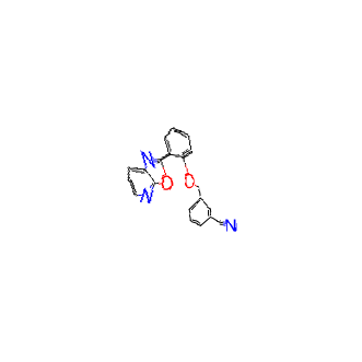 N#Cc1cccc(COc2ccccc2-c2nc3cccnc3o2)c1